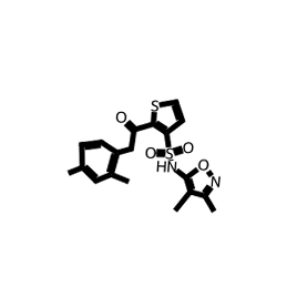 Cc1ccc(CC(=O)c2sccc2S(=O)(=O)Nc2onc(C)c2C)c(C)c1